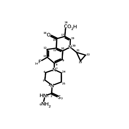 NNC(=S)N1CCN(c2cc3c(cc2F)c(=O)c(C(=O)O)cn3C2CC2)CC1